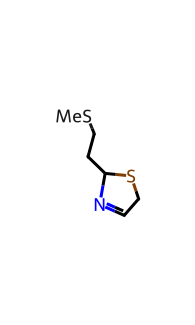 CSCCC1N=CCS1